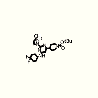 Cc1ccn(-c2nc(NC3CCC(F)(F)CC3)cc(C3CCN(C(=O)OC(C)(C)C)CC3)n2)n1